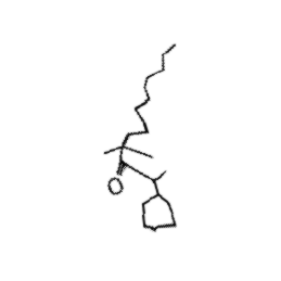 CCCCCCCCC(C)(C)C(=O)C(C)C1CCCCC1